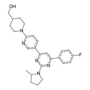 CC1CCCN1c1nc(-c2ccc(F)cc2)cc(-c2ccc(N3CCC(CO)CC3)nc2)n1